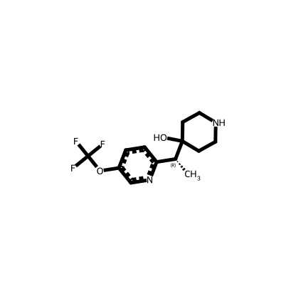 C[C@H](c1ccc(OC(F)(F)F)cn1)C1(O)CCNCC1